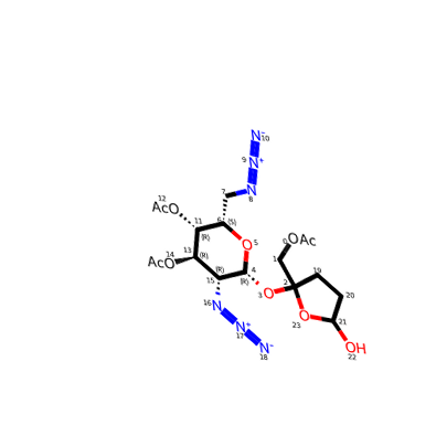 CC(=O)OCC1(O[C@H]2O[C@@H](CN=[N+]=[N-])[C@@H](OC(C)=O)[C@H](OC(C)=O)[C@H]2N=[N+]=[N-])CCC(O)O1